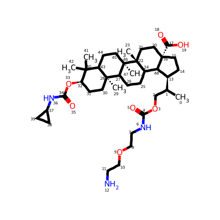 CC(COC(=O)NCCOCCN)[C@@H]1CC[C@]2(C(=O)O)CC[C@]3(C)C(CCC4[C@@]5(C)CC[C@@H](OC(=O)NC6CC6)C(C)(C)C5CC[C@]43C)C12